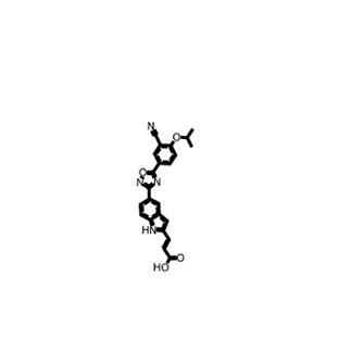 CC(C)Oc1ccc(-c2nc(-c3ccc4[nH]c(/C=C/C(=O)O)cc4c3)no2)cc1C#N